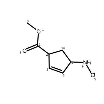 COC(=O)C1C=CC(NCl)C1